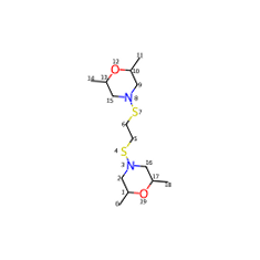 CC1CN(SCCSN2CC(C)OC(C)C2)CC(C)O1